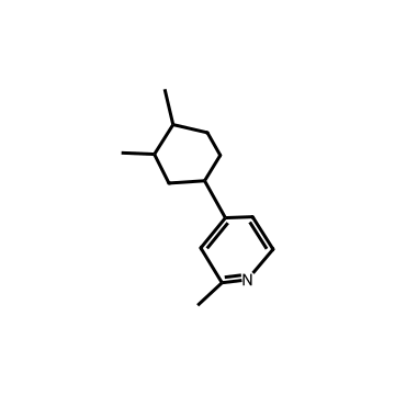 Cc1cc(C2CCC(C)C(C)C2)ccn1